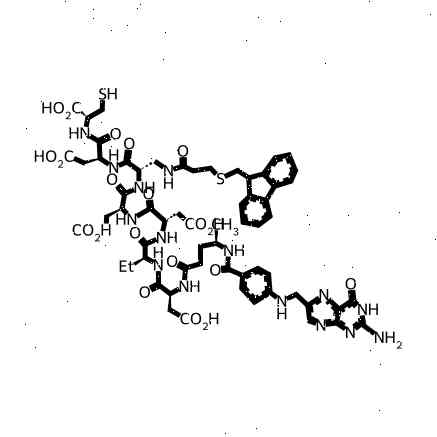 CC[C@H](NC(=O)[C@H](CC(=O)O)NC(=O)CC[C@@H](C)NC(=O)c1ccc(NCc2cnc3nc(N)[nH]c(=O)c3n2)cc1)C(=O)N[C@@H](CC(=O)O)C(=O)N[C@@H](CC(=O)O)C(=O)N[C@@H](CNC(=O)CCSCC1c2ccccc2-c2ccccc21)C(=O)N[C@@H](CC(=O)O)C(=O)N[C@@H](CS)C(=O)O